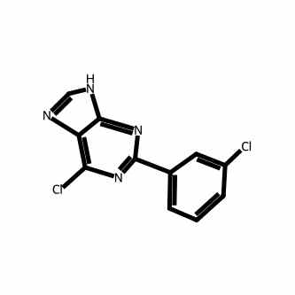 Clc1cccc(-c2nc(Cl)c3nc[nH]c3n2)c1